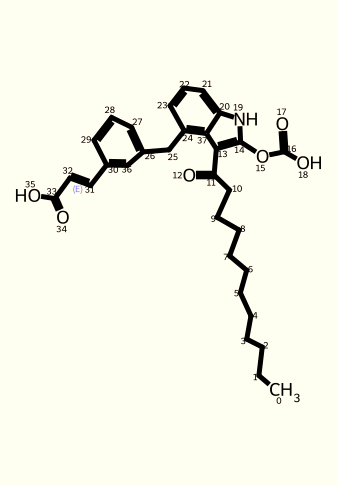 CCCCCCCCCCCC(=O)c1c(OC(=O)O)[nH]c2cccc(Cc3cccc(/C=C/C(=O)O)c3)c12